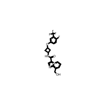 O=C(NC1CC(Oc2ccc(F)c(C(F)(F)F)c2)C1)c1cnc2c(CO)cccn12